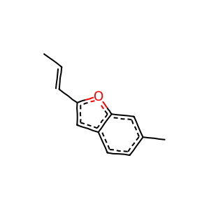 CC=Cc1cc2ccc(C)cc2o1